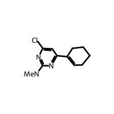 CNc1nc(Cl)cc(C2=CCCCC2)n1